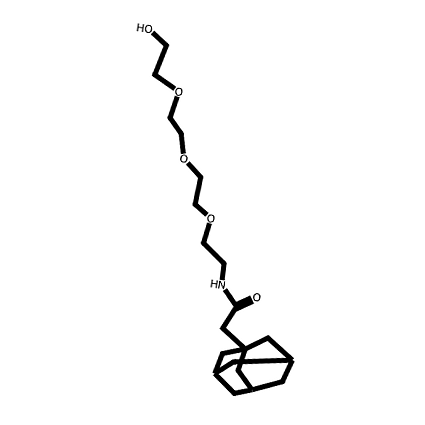 O=C(CC12CC3CC(CC(C3)C1)C2)NCCOCCOCCOCCO